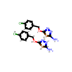 Nc1nnc(OCc2ccc(Cl)cc2)s1.Nc1nnc(OCc2ccc(Cl)cc2)s1